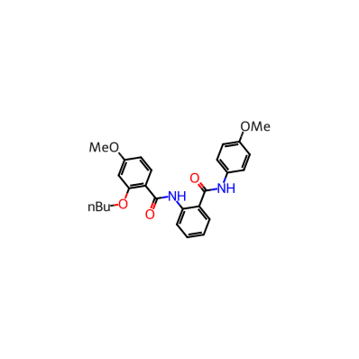 CCCCOc1cc(OC)ccc1C(=O)Nc1ccccc1C(=O)Nc1ccc(OC)cc1